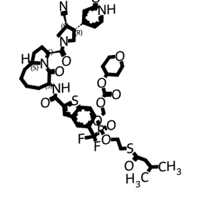 CC(C)CC(=O)SCCOP(=O)(OCOC(=O)OC1CCOCC1)C(F)(F)c1ccc2sc(C(=O)N[C@H]3CCCC[C@H]4CC[C@@H](C(=O)N5C[C@@H](C#N)[C@H](c6cc[nH]c(=O)c6)C5)N4C3=O)cc2c1